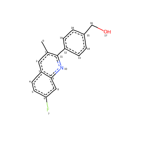 Cc1cc2ccc(F)cc2nc1-c1ccc(CO)cc1